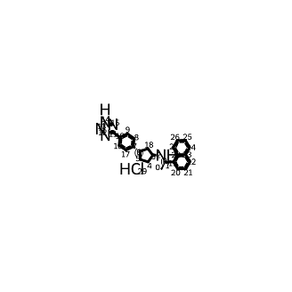 C[C@@H](NC1CC[C@H](c2ccc(-c3nn[nH]n3)cc2)C1)c1cccc2ccccc12.Cl